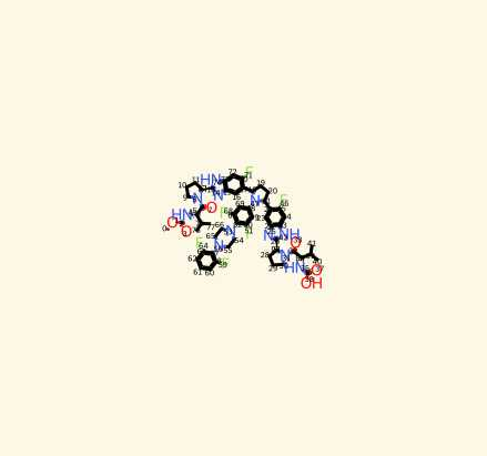 COC(=O)N[C@H](C(=O)N1CCC[C@H]1c1nc2cc(C3CCC(c4cc5nc([C@@H]6CCCN6C(=O)[C@@H](NC(=O)O)C(C)C)[nH]c5cc4F)N3c3cc(F)c(N4CCN(c5c(F)cccc5F)CC4)c(F)c3)c(F)cc2[nH]1)C(C)C